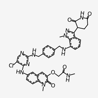 CNC(=O)COc1cc2cc(Nc3nc(NCc4ccc(CNc5cccc6c(C7CCC(=O)NC7=O)nn(C)c56)cc4)ncc3Cl)ccc2n(C)c1=O